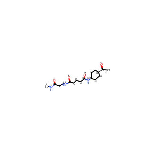 CCNC(=O)CCNC(=O)CCCC(=O)N[C@H]1CC[C@@H](C(=O)C(C)C)CC1